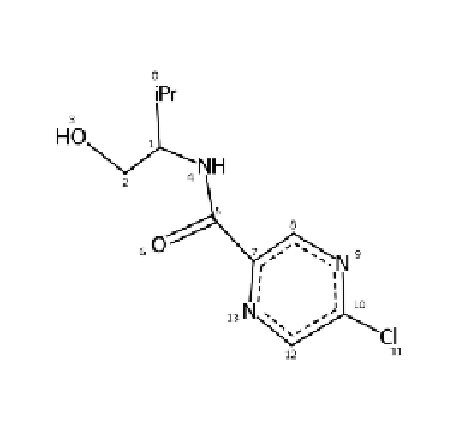 CC(C)C(CO)NC(=O)c1cnc(Cl)cn1